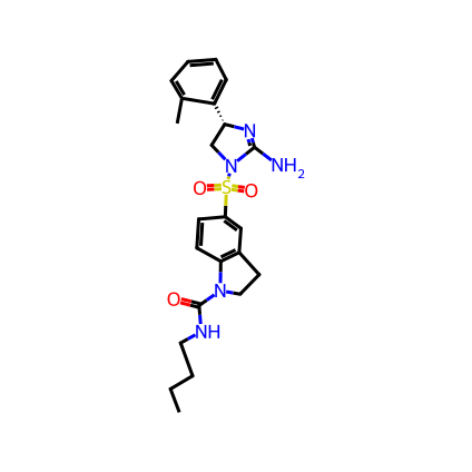 CCCCNC(=O)N1CCc2cc(S(=O)(=O)N3C[C@H](c4ccccc4C)N=C3N)ccc21